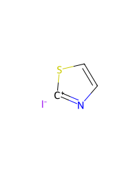 [C+]1=NC=CS1.[I-]